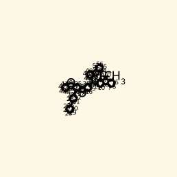 CC1(C)c2ccccc2-c2ccc(N(c3ccc4oc5c(-c6ccc(-c7ccccc7)cc6)c6c(cc5c4c3)oc3ccccc36)c3cccc4c3oc3ccccc34)cc21